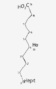 CCCCCCCCCCCCCCCC(=O)O.[Ho]